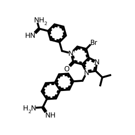 CC(C)c1nc2c(Br)cn(Cc3cccc(C(=N)N)c3)c(=O)c2n1Cc1ccc2ccc(C(=N)N)cc2c1